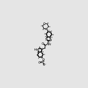 O=C(Cc1c[nH]c2ccc(O[N+](=O)[O-])cc12)Nc1nc2ccc(N3CCOCC3)cc2s1